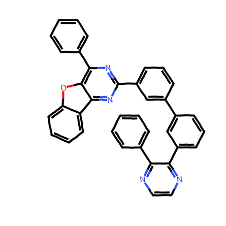 c1ccc(-c2nccnc2-c2cccc(-c3cccc(-c4nc(-c5ccccc5)c5oc6ccccc6c5n4)c3)c2)cc1